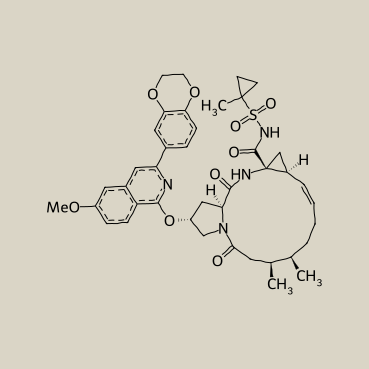 COc1ccc2c(O[C@@H]3C[C@H]4C(=O)N[C@]5(C(=O)NS(=O)(=O)C6(C)CC6)C[C@H]5/C=C\CC[C@@H](C)[C@@H](C)CC(=O)N4C3)nc(-c3ccc4c(c3)OCCO4)cc2c1